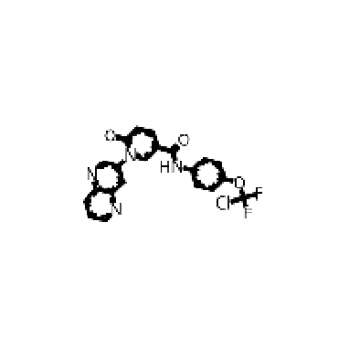 O=C(Nc1ccc(OC(F)(F)Cl)cc1)c1ccc(=O)n(-c2cnc3cccnc3c2)c1